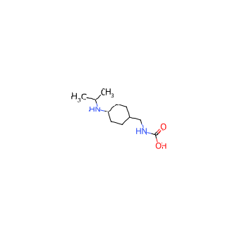 CC(C)NC1CCC(CNC(=O)O)CC1